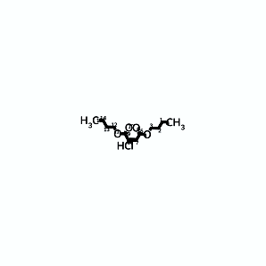 CCCCOC(=O)/C=C\C(=O)OCCCC.Cl